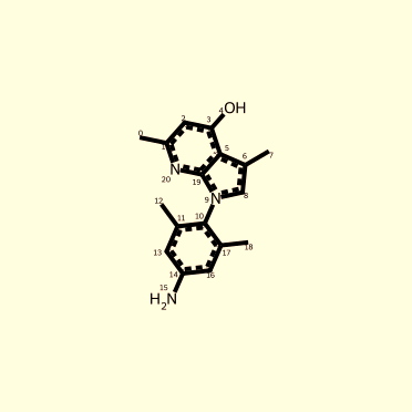 Cc1cc(O)c2c(C)cn(-c3c(C)cc(N)cc3C)c2n1